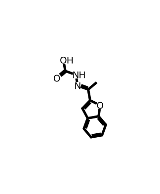 CC(=NNC(=O)O)c1cc2ccccc2o1